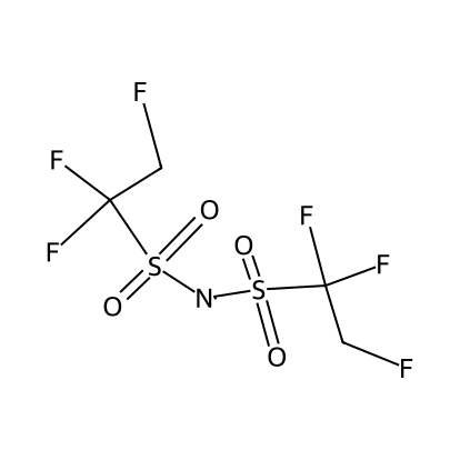 O=S(=O)([N]S(=O)(=O)C(F)(F)CF)C(F)(F)CF